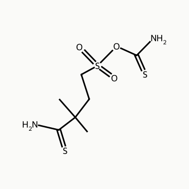 CC(C)(CCS(=O)(=O)OC(N)=S)C(N)=S